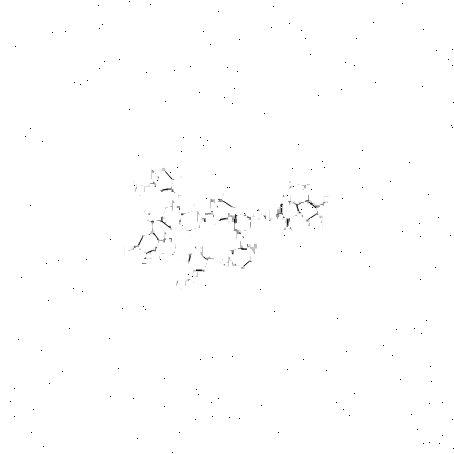 COc1cc(C=O)ccn1.COc1cc(CN(Cc2cn3c4c(c(F)c(F)cc4c2=O)OCC3)[C@H]2CCCN(c3cnccn3)C2)ccn1.O=c1c(CN[C@H]2CCCN(c3cnccn3)C2)cn2c3c(c(F)c(F)cc13)OCC2